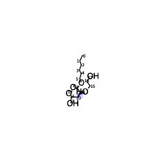 CCCCCCOC(=O)/C=C\C(=O)O.OCCO